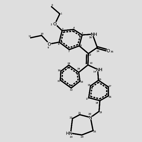 CCOc1cc2c(cc1OCC)/C(=C(/Nc1ccc(CN3CCNCC3)cc1)c1ccccc1)C(=O)N2